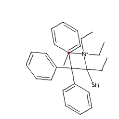 [CH2]CC(S)(C(c1ccccc1)(c1ccccc1)c1ccccc1)[N+](CC)(CC)CC